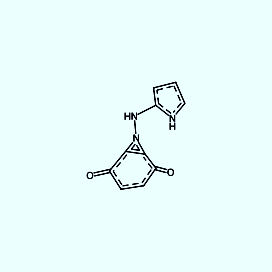 O=c1ccc(=O)c2n(Nc3ccc[nH]3)c1=2